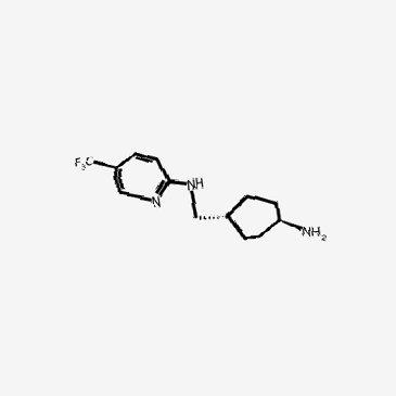 N[C@H]1CC[C@H](CNc2ccc(C(F)(F)F)cn2)CC1